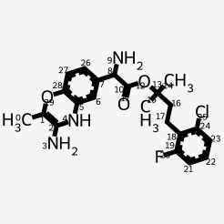 CC1=C(N)Nc2cc(C(N)C(=O)OC(C)(C)CCc3c(F)cccc3Cl)ccc2O1